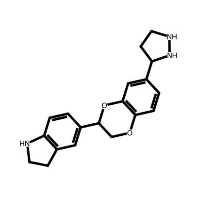 c1cc2c(cc1C1CCNN1)OC(c1ccc3c(c1)CCN3)CO2